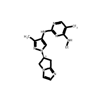 CCNc1nc(Nc2cn([C@H]3Cc4nccn4C3)nc2C)ncc1C(F)(F)F